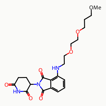 COCCCOCCOCCNc1cccc2c1C(=O)N(C1CCC(=O)NC1=O)C2=O